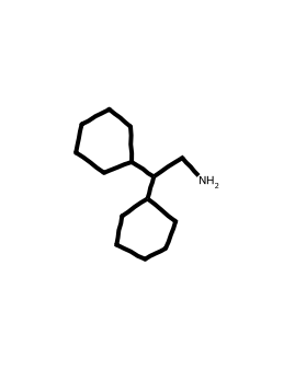 NCC(C1CCCCC1)C1CCCCC1